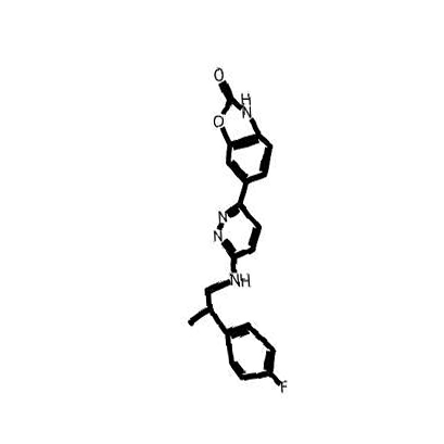 CC(CNc1ccc(-c2ccc3[nH]c(=O)oc3c2)nn1)c1ccc(F)cc1